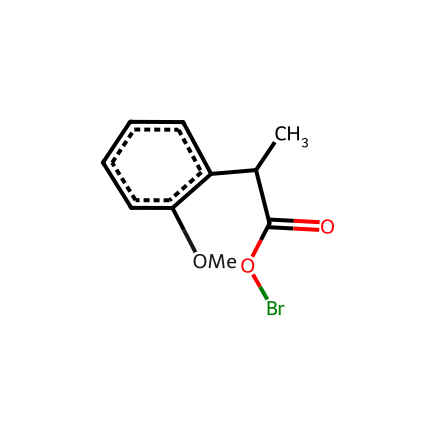 COc1ccccc1C(C)C(=O)OBr